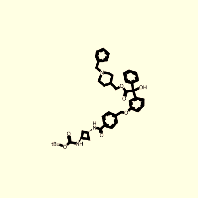 CC(C)(C)OC(=O)N[C@H]1C[C@H](NC(=O)c2ccc(COc3cccc(C(O)(C(=O)OCC4CCN(Cc5ccccc5)CC4)c4ccccc4)c3)cc2)C1